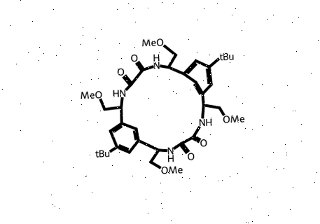 COCC1NC(=O)C(=O)NC(COC)c2cc(cc(C(C)(C)C)c2)C(COC)NC(=O)C(=O)NC(COC)c2cc1cc(C(C)(C)C)c2